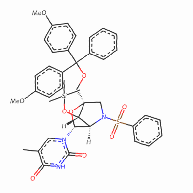 COc1ccc(C(OC[C@@]23CN(S(=O)(=O)c4ccccc4)[C@@H]([C@H](n4cc(C)c(=O)[nH]c4=O)O2)[C@@H]3O[Si](C)(C)C)(c2ccccc2)c2ccc(OC)cc2)cc1